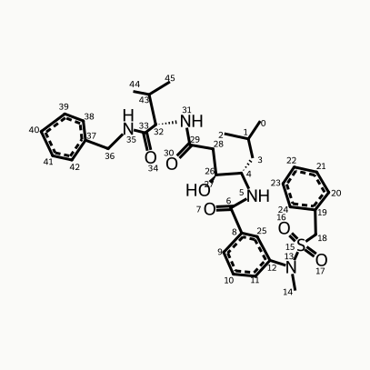 CC(C)C[C@H](NC(=O)c1cccc(N(C)S(=O)(=O)Cc2ccccc2)c1)[C@@H](O)CC(=O)N[C@H](C(=O)NCc1ccccc1)C(C)C